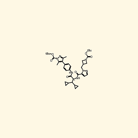 Cc1nn(C(=O)OC(C)(C)C)c(C)c1-c1ccc(NC(=O)[C@@H](NC(=O)c2ccnn2CC2CN(C(=O)OC(C)(C)C)C2)C(C2CC2)C2CC2)cc1